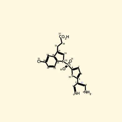 N=C/C(=C\N)c1ccc(S(=O)(=O)n2cc(CCC(=O)O)c3cc(Cl)ccc32)s1